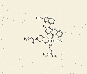 C=CC(=O)N1CCN(C2=C(C(=O)NCCN(C)C)C(O)N(c3c(C)ccnc3C(C)C)c3nc(-c4cccc5sc(N)nc45)c(F)cc32)CC1